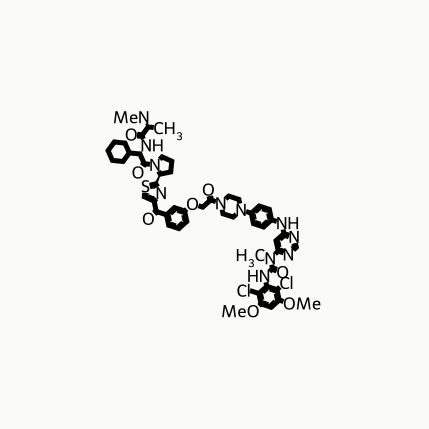 CN[C@@H](C)C(=O)N[C@H](C(=O)N1CCC[C@H]1c1nc(C(=O)c2cccc(OCC(=O)N3CCN(c4ccc(Nc5cc(N(C)C(=O)Nc6c(Cl)c(OC)cc(OC)c6Cl)ncn5)cc4)CC3)c2)cs1)C1CCCCC1